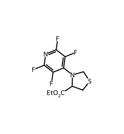 CCOC(=O)C1CSCN1c1c(F)c(F)nc(F)c1F